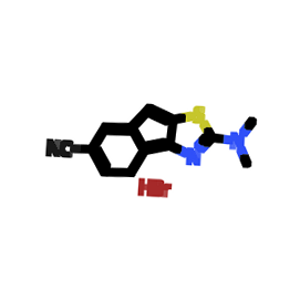 Br.CN(C)c1nc2c(s1)=CC1=CC(C#N)=CCC=21